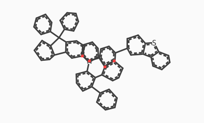 c1ccc(-c2ccccc2-c2c(-c3ccccc3)cccc2N(c2ccc(-c3ccc4sc5ccccc5c4c3)cc2)c2ccc3c(c2)-c2ccccc2C3(c2ccccc2)c2ccccc2)cc1